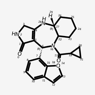 O=C1NCC2=C1[C@@H](c1cccc3ccoc13)N(C(=O)C1CC1)C1CCCC[C@H]1N2